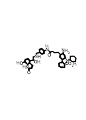 Nc1cc(N(C(=O)O)C2CCCCC2)c(-c2ccccc2)cc1CCCC(=O)Nc1ccc(CNC[C@H](O)c2ccc(O)c3[nH]c(=O)ccc23)cc1